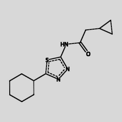 O=C(CC1CC1)Nc1nnc(C2CCCCC2)s1